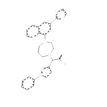 O=C(O)C(c1ccn(-c2ccccc2)n1)N1CCCN(c2cc(-c3ncco3)cc3cccnc23)CC1